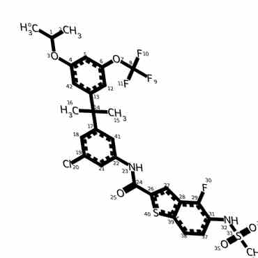 CC(C)Oc1cc(OC(F)(F)F)cc(C(C)(C)c2cc(Cl)cc(NC(=O)c3cc4c(F)c(NS(C)(=O)=O)ccc4s3)c2)c1